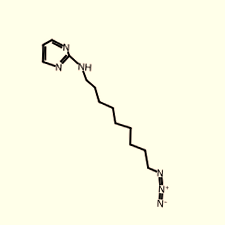 [N-]=[N+]=NCCCCCCCCCNc1ncccn1